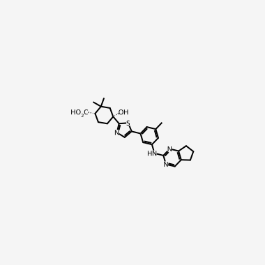 Cc1cc(Nc2ncc3c(n2)CCC3)cc(-c2cnc([C@@]3(O)CC[C@H](C(=O)O)C(C)(C)C3)s2)c1